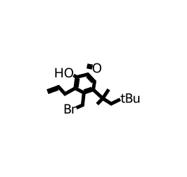 C=CCc1c(O)ccc(C(C)(C)CC(C)(C)C)c1CBr.C=O